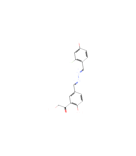 O=C(CO)c1cc(/C=N/N=C/c2ccc(O)cc2F)ccc1O